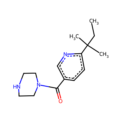 CCC(C)(C)c1ccc(C(=O)N2CCNCC2)cn1